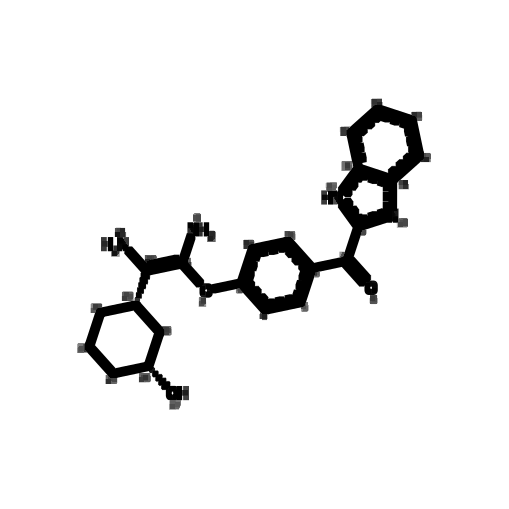 N/C(Oc1ccc(C(=O)c2nc3ccccc3[nH]2)cc1)=C(\N)[C@H]1CCC[C@@H](O)C1